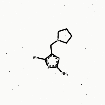 CC(C)c1sc(N)nc1CN1CCCC1